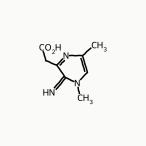 Cc1cn(C)c(=N)c(CC(=O)O)n1